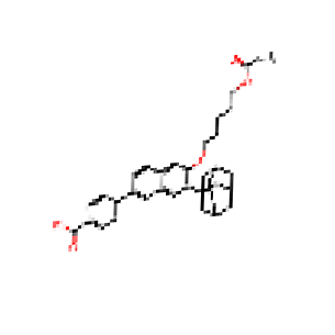 CC(=O)OCCCCCOc1cc2ccc(-c3ccc(C(=O)O)cc3)cc2cc1C12CC3CC(CC(C3)C1)C2